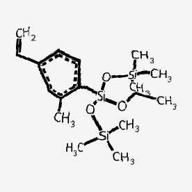 C=Cc1ccc([Si](OCC)(O[Si](C)(C)C)O[Si](C)(C)C)c(C)c1